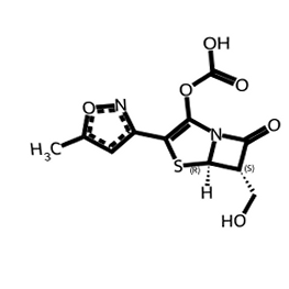 Cc1cc(C2=C(OC(=O)O)N3C(=O)[C@H](CO)[C@H]3S2)no1